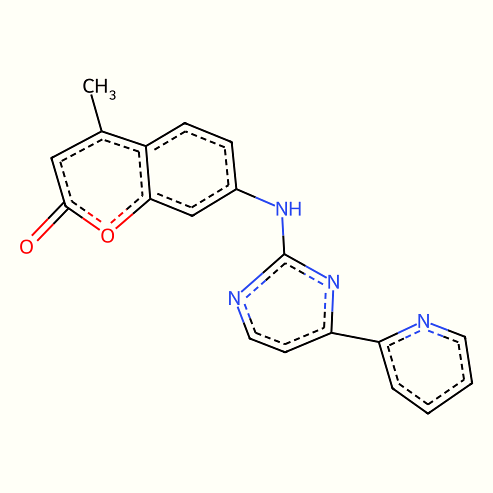 Cc1cc(=O)oc2cc(Nc3nccc(-c4ccccn4)n3)ccc12